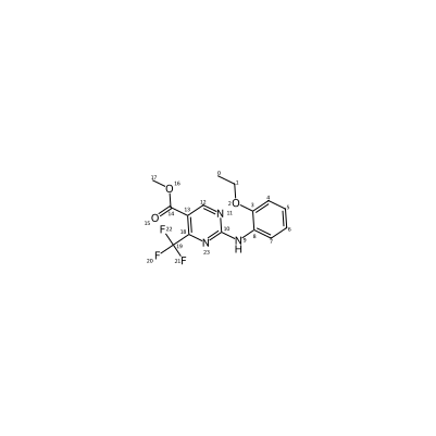 CCOc1ccccc1Nc1ncc(C(=O)OC)c(C(F)(F)F)n1